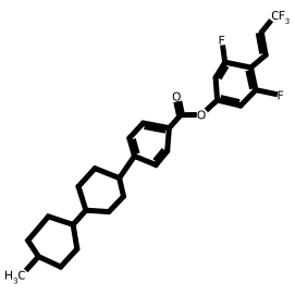 CC1CCC(C2CCC(c3ccc(C(=O)Oc4cc(F)c(/C=C/C(F)(F)F)c(F)c4)cc3)CC2)CC1